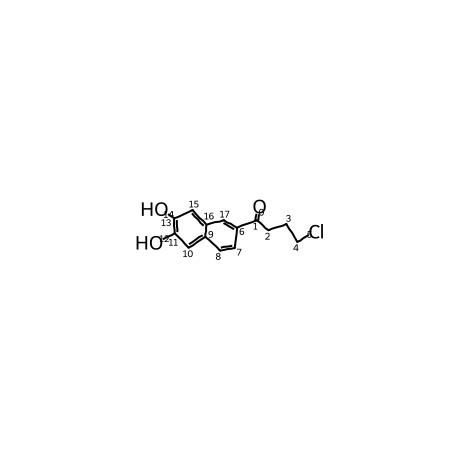 O=C(CCCCl)c1ccc2cc(O)c(O)cc2c1